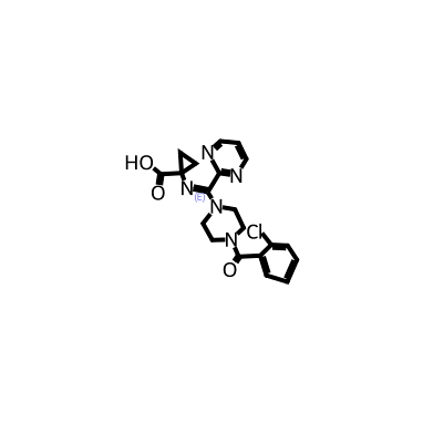 O=C(c1ccccc1Cl)N1CCN(/C(=N/C2(C(=O)O)CC2)c2ncccn2)CC1